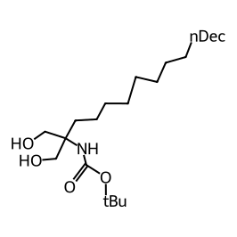 CCCCCCCCCCCCCCCCCCC(CO)(CO)NC(=O)OC(C)(C)C